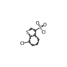 O=S(=O)(Cl)c1csc2c(Cl)cccc12